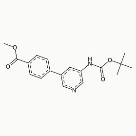 COC(=O)c1ccc(-c2cncc(NC(=O)OC(C)(C)C)c2)cc1